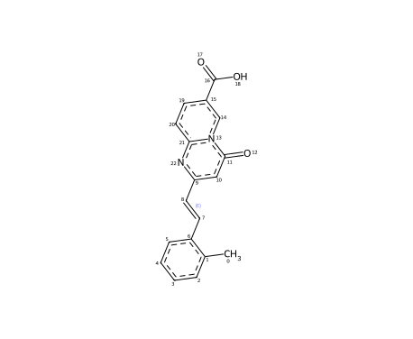 Cc1ccccc1/C=C/c1cc(=O)n2cc(C(=O)O)ccc2n1